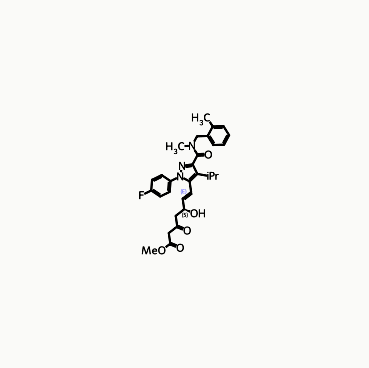 COC(=O)CC(=O)C[C@H](O)/C=C/c1c(C(C)C)c(C(=O)N(C)Cc2ccccc2C)nn1-c1ccc(F)cc1